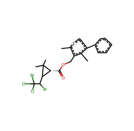 Cc1ccc(-c2ccccc2)c(C)c1COC(=O)[C@@H]1C(C(Br)C(Cl)(Cl)Br)C1(C)C